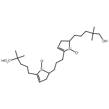 CC(C)(CO)CCCC1CC=C(CCCC2CC=C(CCCC(C)(C)C(=O)O)[S+]2[O-])[S+]1[O-]